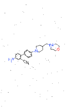 N#Cc1cc(N)ccc1-c1ccc(N2CCC(CN3CCOCC3)CC2)cc1